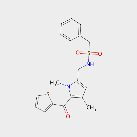 Cc1cc(CNS(=O)(=O)Cc2ccccc2)n(C)c1C(=O)c1cccs1